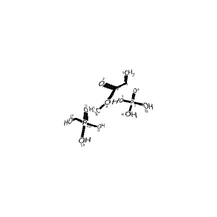 C=CC(=O)OC.O=P(O)(O)O.O=P(O)(O)O